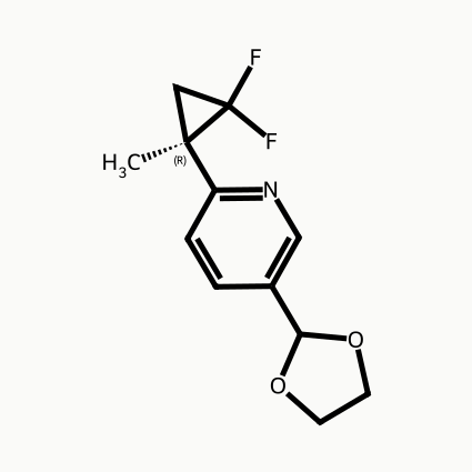 C[C@]1(c2ccc(C3OCCO3)cn2)CC1(F)F